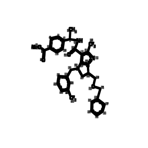 COC(=O)c1ccc(C(C)NC(=O)c2c(C(F)(F)F)nn3c2N(Cc2cccc(C(F)(F)F)c2)CC3COCc2ccccc2)cc1